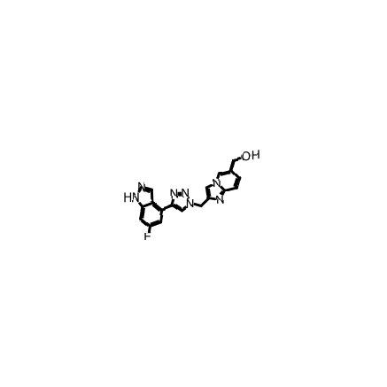 OCc1ccc2nc(Cn3cc(-c4cc(F)cc5[nH]ncc45)nn3)cn2c1